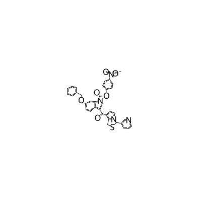 O=C(c1ccn2c1CSC2c1cccnc1)c1cn(C(=O)Oc2ccc([N+](=O)[O-])cc2)c2cc(OCc3ccccc3)ccc12